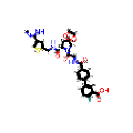 C=NC(=N)c1csc(CNC(=O)[C@@H]2CC3(CN2C(=O)CNC(=O)c2ccc(-c4ccc(F)c(C(=O)O)c4)cc2)OCCO3)c1